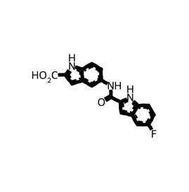 O=C(O)c1cc2cc(NC(=O)c3cc4cc(F)ccc4[nH]3)ccc2[nH]1